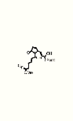 CCCCCC(O)C=CC1C=CC(=O)C1C(O)CCCCC(=C=O)OC